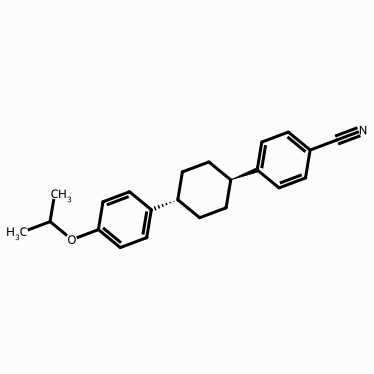 CC(C)Oc1ccc([C@H]2CC[C@H](c3ccc(C#N)cc3)CC2)cc1